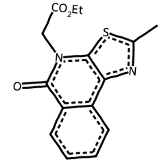 CCOC(=O)Cn1c(=O)c2ccccc2c2nc(C)sc21